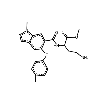 COC(=O)C(CCN)NC(=O)c1cc2c(cnn2C)cc1Oc1ccc(F)cc1